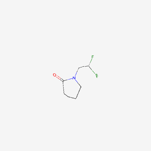 O=C1CCCN1CC(F)F